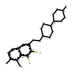 Cc1ccc2cc(CCC3CCC(C4CCC(C)CC4)CC3)c(F)c(F)c2c1C